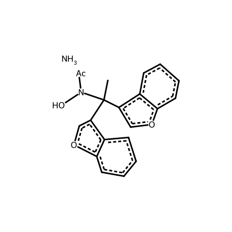 CC(=O)N(O)C(C)(c1coc2ccccc12)c1coc2ccccc12.N